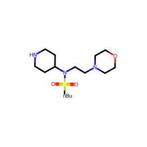 CCCCS(=O)(=O)N(CCN1CCOCC1)C1CCNCC1